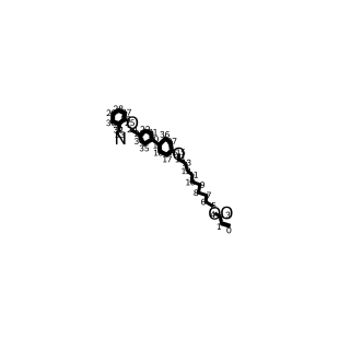 C=CC(=O)OCCCCCCCCCCOc1ccc(-c2ccc(COc3ccccc3C#N)cc2)cc1